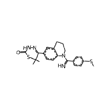 CSc1ccc(C(=N)N2CCCc3cc(C4=NNC(=O)SC4(C)C)ccc32)cc1